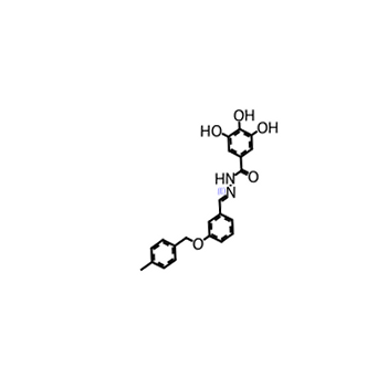 Cc1ccc(COc2cccc(/C=N/NC(=O)c3cc(O)c(O)c(O)c3)c2)cc1